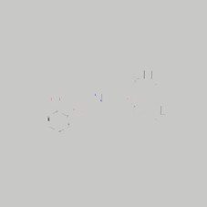 C=CCC1(OC(=O)OCC)CCCN(CC2COc3ccccc3O2)C1